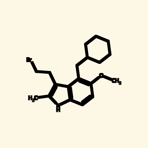 COc1ccc2[nH]c(C)c(CCBr)c2c1CC1CCCCC1